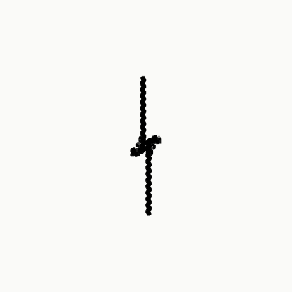 CCCCCCCCCCCCCCCCCCCCOc1c2c[c]([Sn]([CH3])([CH3])[CH3])sc2c(OCCCCCCCCCCCCCCCCCCCC)c2c[c]([Sn]([CH3])([CH3])[CH3])sc12